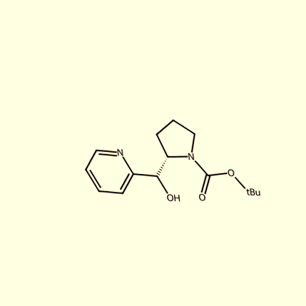 CC(C)(C)OC(=O)N1CCC[C@H]1C(O)c1ccccn1